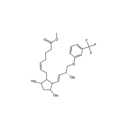 COC(=O)CCC/C=C\CC1C(O)CC(O)C1/C=C/[C@@H](O)COc1cccc(C(F)(F)F)c1